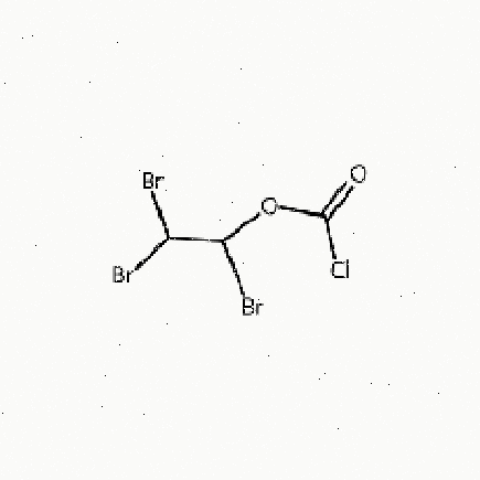 O=C(Cl)OC(Br)C(Br)Br